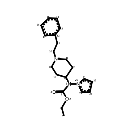 CCOC(=O)N(C1CCN(CCc2ccccc2)CC1)n1cccc1